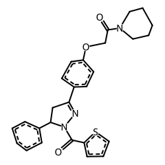 O=C(COc1ccc(C2=NN(C(=O)c3cccs3)C(c3ccccc3)C2)cc1)N1CCCCC1